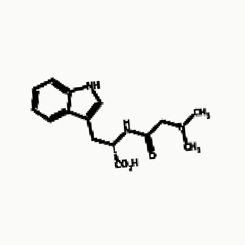 CN(C)CC(=O)N[C@@H](Cc1c[nH]c2ccccc12)C(=O)O